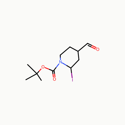 CC(C)(C)OC(=O)N1CCC(C=O)CC1I